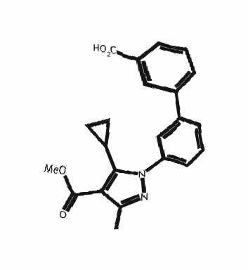 COC(=O)c1c(C)nn(-c2cccc(-c3cccc(C(=O)O)c3)c2)c1C1CC1